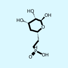 O=[PH](O)CC[C@@H]1C[C@H](O)[C@H](O)[C@@H](O)O1